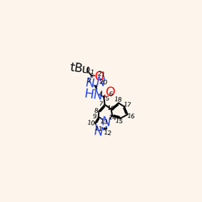 CC(C)(C)c1nc(NC(=O)c2cc3cncn3c3ccccc23)no1